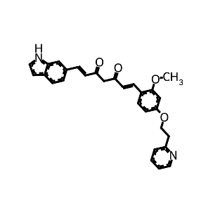 COc1cc(OCCc2ccccn2)ccc1/C=C/C(=O)CC(=O)/C=C/c1ccc2cc[nH]c2c1